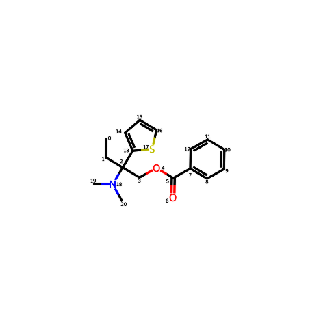 CCC(COC(=O)c1ccccc1)(c1cccs1)N(C)C